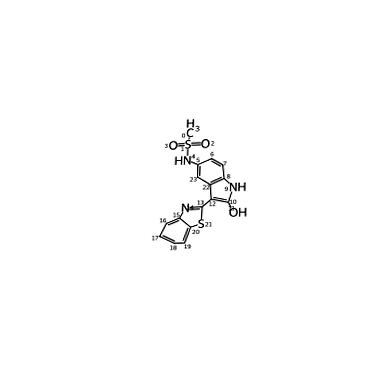 CS(=O)(=O)Nc1ccc2[nH]c(O)c(-c3nc4ccccc4s3)c2c1